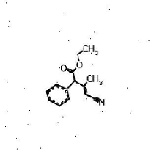 CCOC(=O)C(C(C)=CC#N)c1ccccc1